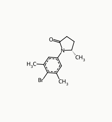 Cc1cc(N2C(=O)CC[C@@H]2C)cc(C)c1Br